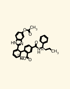 CCC[C@@H](NC(=O)c1ccc(C2C(c3nc4cc(OC(C)=O)ccc4[nH]3)=CC=C[C@@H]2Cl)c(C(=O)O)c1)c1ccccc1